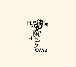 COCCOCC(O)Cn1cc(B2OC(C)(C)C(C)(C)O2)cn1